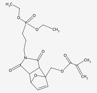 C=C(C)C(=O)OCC12C=CC(O1)C1C(=O)N(CCCP(=O)(OCC)OCC)C(=O)C12